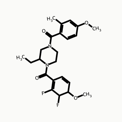 CCC1CN(C(=O)c2ccc(OC)cc2C)CCN1C(=O)C1=C(F)C(F)C(OC)C=C1